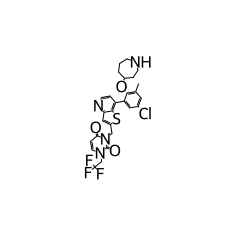 Cc1cc(Cl)cc(-c2ccnc3cc(Cn4c(=O)ccn(CC(F)(F)F)c4=O)sc23)c1O[C@H]1CCCNCC1